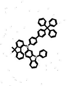 CC1(C)c2ccccc2-c2c(N(c3ccc(-c4ccc(C(c5ccccc5)(c5ccccc5)c5ccccc5)cc4)cc3)c3ccc4c5ccccc5n(-c5ccccc5)c4c3)cccc21